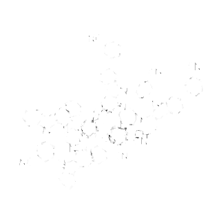 Cc1nc(C)nc(-c2c(-n3c4cc(-c5cccc(C#N)c5)ccc4c4ccc(-c5cccc(C#N)c5)cc43)cc(C#N)cc2-n2c3cc(-c4cccc(C#N)c4)ccc3c3cc(-c4cc(-c5ccc6c7ccccc7n(-c7cc(C#N)cc(-n8c9ccccc9c9ccc(-c%10ccc(C#N)cc%10)cc98)c7-c7nc(-c8ccccc8)nc(-c8ccccc8)n7)c6c5)ccc4C#N)c(-c4cccc(C#N)c4)cc32)n1